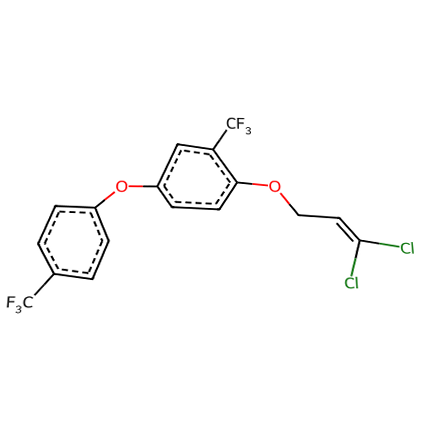 FC(F)(F)c1ccc(Oc2ccc(OCC=C(Cl)Cl)c(C(F)(F)F)c2)cc1